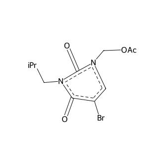 CC(=O)OCn1cc(Br)c(=O)n(CC(C)C)c1=O